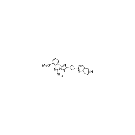 COc1cccc2c1nc(N)n1nc([C@H]3C[C@H](c4ncc5c(n4)CCNC5)C3)nc21